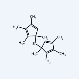 CC1=C[C](C)([Zr][C]2(C)C=C(C)C(C)=C2C)C(C)=C1C